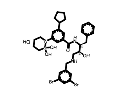 Cl.O=C(N[C@@H](Cc1ccccc1)[C@@H](O)CNCc1cc(Br)cc(Br)c1)c1cc(C2CCCC2)cc(N2CCCCS2(O)O)c1